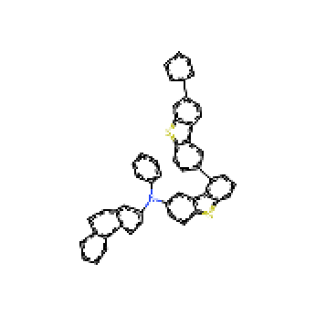 c1ccc(-c2ccc3c(c2)sc2ccc(-c4cccc5sc6ccc(N(c7ccccc7)c7ccc8c(ccc9ccccc98)c7)cc6c45)cc23)cc1